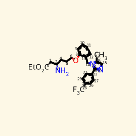 CCOC(=O)C[C@H](N)CCCOc1ccccc1Cn1c(C)cnc1-c1ccc(C(F)(F)F)cc1